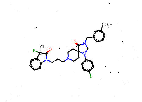 C[C@]1(F)C(=O)N(CCCN2CCC3(CC2)C(=O)N(Cc2cccc(C(=O)O)c2)CN3c2ccc(F)cc2)c2ccccc21